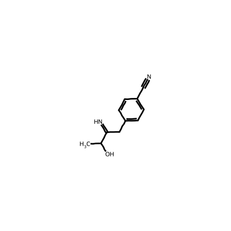 CC(O)C(=N)Cc1ccc(C#N)cc1